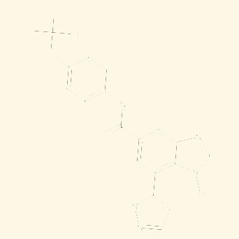 CCn1cnc2cc(C(=O)Nc3ccc(OC(F)(F)Cl)cc3)cc(-c3ccn[nH]3)c21